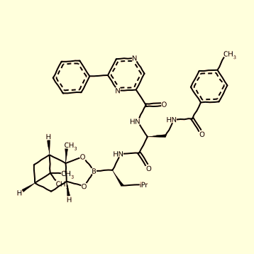 Cc1ccc(C(=O)NC[C@H](NC(=O)c2cncc(-c3ccccc3)n2)C(=O)N[C@@H](CC(C)C)B2O[C@@H]3C[C@@H]4C[C@@H](C4(C)C)[C@]3(C)O2)cc1